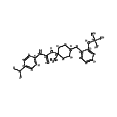 CC(C)c1ccc(NC(=O)OC2(N)CCN(Cc3ccccc3OC(F)(F)F)CC2)cc1